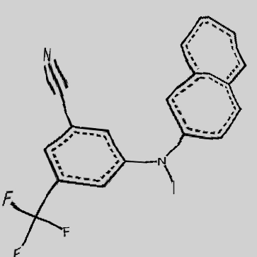 N#Cc1cc(N(I)c2ccc3ccccc3c2)cc(C(F)(F)F)c1